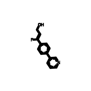 OC/C=C(\F)c1ccc(-c2cccnc2)cc1